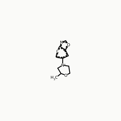 CC1C[N+](c2ccc3ncoc3c2)CCO1